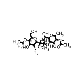 CC(=O)NC1C(O)[C@H](OC(C)(C)C(C)(C)[C@@H]2OC(CO)[C@@H](OC(C)C)C(O)C2N)C(CO)O[C@H]1C